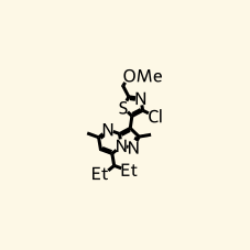 CCC(CC)c1cc(C)nc2c(-c3sc(COC)nc3Cl)c(C)nn12